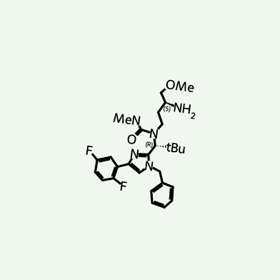 CNC(=O)N(CC[C@H](N)COC)[C@@H](c1nc(-c2cc(F)ccc2F)cn1Cc1ccccc1)C(C)(C)C